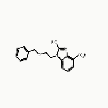 O=C(O)c1cccc2c1nc(C(F)(F)F)n2CCOCc1ccccc1